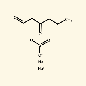 CCCC(=O)CC=O.O=S([O-])[O-].[Na+].[Na+]